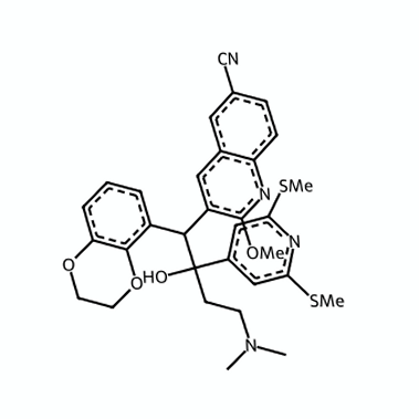 COc1nc2ccc(C#N)cc2cc1C(c1cccc2c1OCCO2)C(O)(CCN(C)C)c1cc(SC)nc(SC)c1